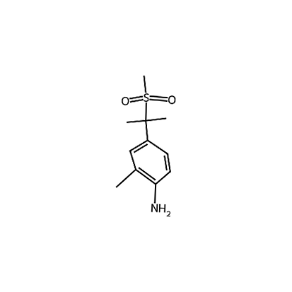 Cc1cc(C(C)(C)S(C)(=O)=O)ccc1N